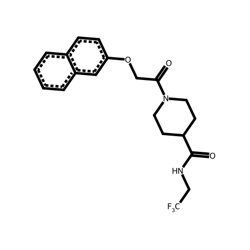 O=C(NCC(F)(F)F)C1CCN(C(=O)COc2ccc3ccccc3c2)CC1